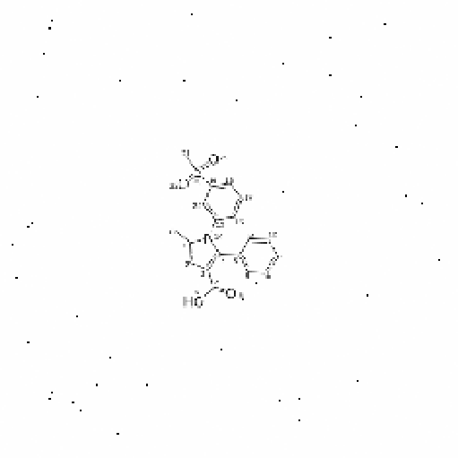 Cc1cc(C(=O)O)c(-c2ccccc2)n1-c1cccc(S(C)(=O)=O)c1